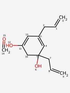 C=CCC1=CC(O)(CC=C)CC(O)=C1.C=O